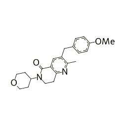 COc1ccc(Cc2cc3c(nc2C)CCN(C2CCOCC2)C3=O)cc1